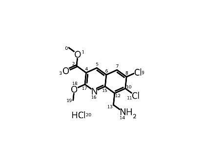 COC(=O)c1cc2cc(Cl)c(Cl)c(CN)c2nc1OC.Cl